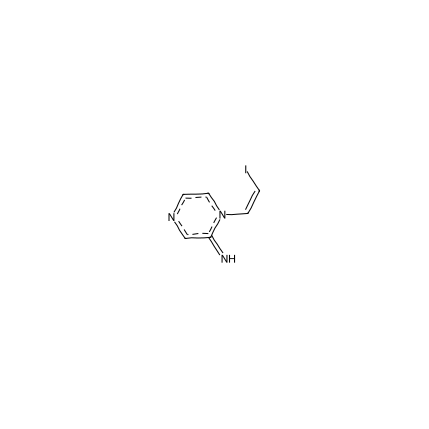 N=c1cnccn1/C=C\I